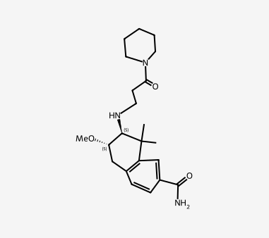 CO[C@H]1Cc2ccc(C(N)=O)cc2C(C)(C)[C@@H]1NCCC(=O)N1CCCCC1